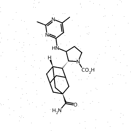 Cc1cc(NC2CCN(C(=O)O)[C@@H]2C2C3CC4C[C@H]2C[C@@](C(N)=O)(C4)C3)nc(C)n1